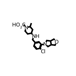 CC1CC(NCc2ccc(Cl)c(N3CC4COCC4C3)c2)CCN1C(=O)O